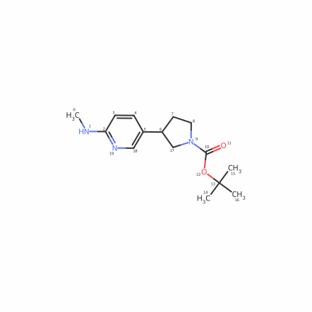 CNc1ccc(C2CCN(C(=O)OC(C)(C)C)C2)cn1